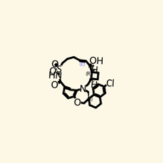 C[C@]1(O)/C=C/CCCS(=O)(=O)NC(=O)c2ccc3c(c2)N(C[C@@H]2CC[C@H]21)C[C@@]1(CCCc2cc(Cl)ccc21)CO3